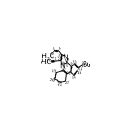 C#Cc1c(/C=C\C)nc2c3cc(C(C)CC)ccc3c3c(n12)CCCC3